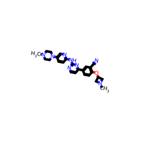 CN1CCN(c2ccc(Nc3nccc(-c4ccc(OC5CN(C)C5)c(C#N)c4)n3)nc2)CC1